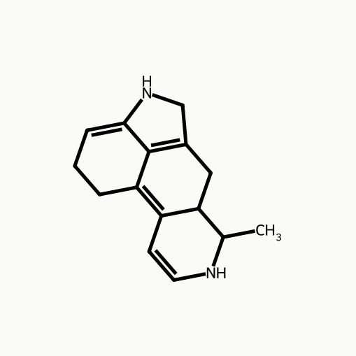 CC1NC=CC2=C3CCC=C4NCC(=C43)CC21